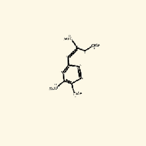 COCC(=Cc1ccc(OC)c(OC)c1)OC